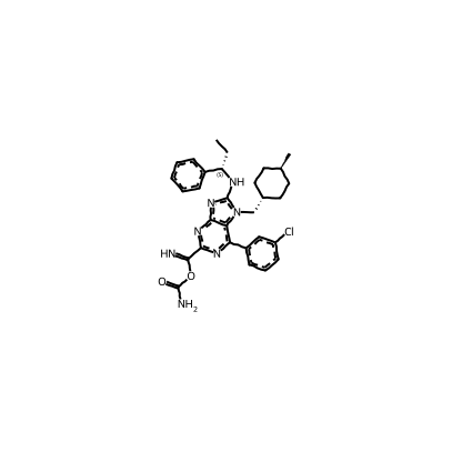 CC[C@H](Nc1nc2nc(C(=N)OC(N)=O)nc(-c3cccc(Cl)c3)c2n1C[C@H]1CC[C@H](C)CC1)c1ccccc1